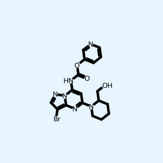 O=C(Nc1cc(N2CCCCC2CO)nc2c(Br)cnn12)Oc1cccnc1